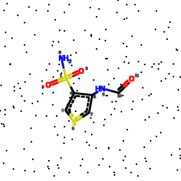 NS(=O)(=O)c1cscc1NC=O